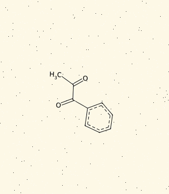 CC(=O)C(=O)c1[c]cccc1